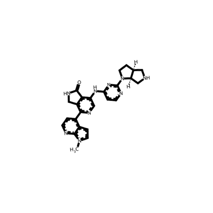 Cn1ccc2c(-c3ncc(Nc4ccnc(N5CC[C@H]6CNC[C@H]65)n4)c4c3CNC4=O)ccnc21